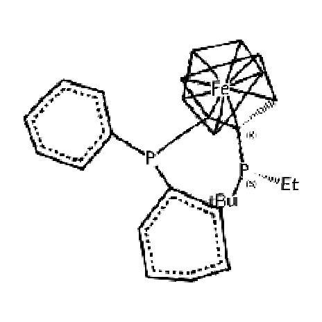 CC[P@](C(C)(C)C)[C@@]12[CH]3[CH]4[CH]5[C]1(P(c1ccccc1)c1ccccc1)[Fe]45321678[CH]2[CH]1[CH]6[CH]7[CH]28